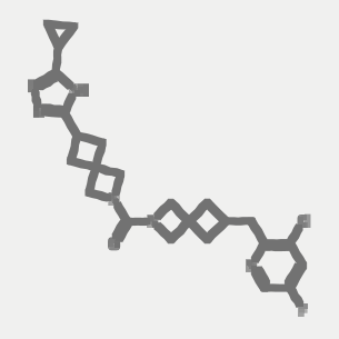 O=C(N1CC2(CC(Cc3ncc(F)cc3Cl)C2)C1)N1CC2(CC(c3nnc(C4CC4)[nH]3)C2)C1